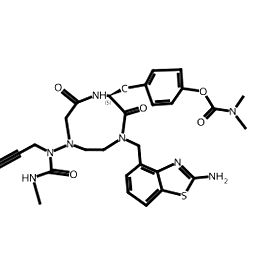 C#CCN(C(=O)NC)N1CCN(Cc2cccc3sc(N)nc23)C(=O)[C@H](Cc2ccc(OC(=O)N(C)C)cc2)NC(=O)C1